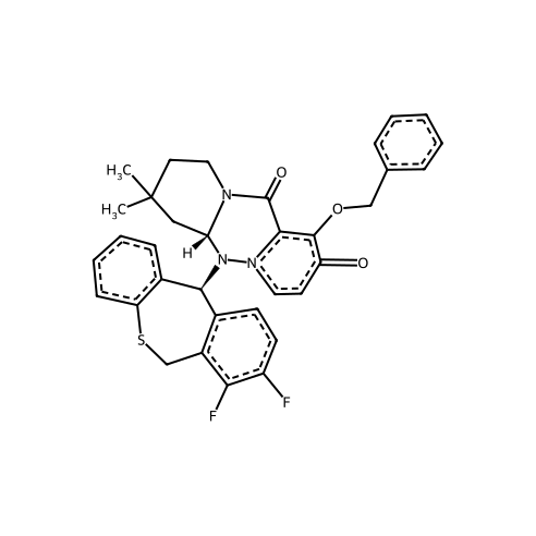 CC1(C)CCN2C(=O)c3c(OCc4ccccc4)c(=O)ccn3N([C@@H]3c4ccccc4SCc4c3ccc(F)c4F)[C@@H]2C1